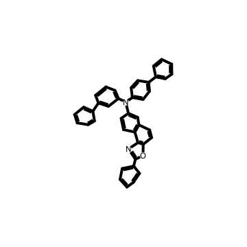 c1ccc(-c2ccc(N(c3cccc(-c4ccccc4)c3)c3ccc4c(ccc5oc(-c6ccccc6)nc54)c3)cc2)cc1